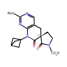 CSc1ncc2c(n1)N(C13CC(C1)C3)C(=O)[C@]1(CCN(C(=O)O)C1=O)C2